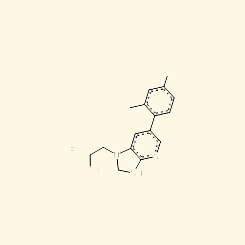 CC[C@@H](O)CN1CNc2ncc(-c3ccc(F)cc3C)cc21